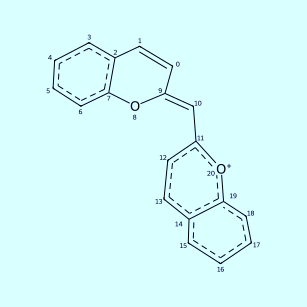 C1=Cc2ccccc2OC1=Cc1ccc2ccccc2[o+]1